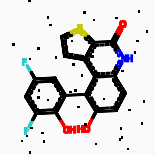 O=c1[nH]c2ccc(O)c(-c3cc(F)cc(F)c3O)c2c2ccsc12